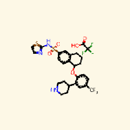 O=C(O)C(F)(F)F.O=S(=O)(Nc1nccs1)c1ccc2c(c1)CCCC2Oc1ccc(C(F)(F)F)cc1C1CCNCC1